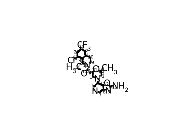 C[C@@H]1CN(c2cncc3nc(N)oc23)C[C@H](C(=O)N2CCc3cc(C(F)(F)F)cc(Cl)c3[C@H]2C)O1